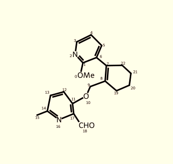 COc1ncccc1C1=C(COc2ccc(C)nc2C=O)CCCC1